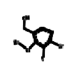 CCOc1c(CC#N)ccc(Br)c1F